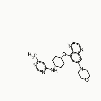 Cc1cc(N[C@H]2CC[C@@H](Oc3cc(N4CCOCC4)cc4nccnc34)CC2)ncn1